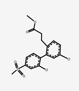 COC(=O)CCc1ccc(Cl)cc1-c1ccc(S(C)(=O)=O)cc1Cl